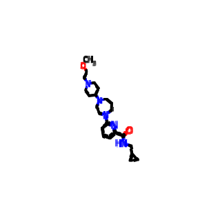 COCCN1CCC(N2CCCN(c3cccc(C(=O)NCC4CC4)n3)CC2)CC1